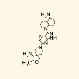 C[C@@H]1OCC2(CCN(c3cnc4c(N5CCCc6c(N)cccc65)n[nH]c4n3)CC2)[C@@H]1N